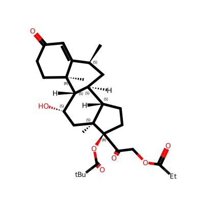 CCC(=O)OCC(=O)[C@@]1(OC(=O)C(C)(C)C)CC[C@H]2[C@@H]3C[C@H](C)C4=CC(=O)CC[C@]4(C)[C@H]3[C@@H](O)C[C@@]21C